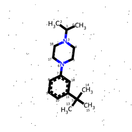 CC(C)N1CCN(c2cccc(C(C)(C)C)c2)CC1